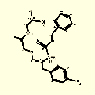 CC(COC[C@H](Cc1ccc(O)cc1)N(C)C(=O)CCc1ccccc1)OC[C@@H](C)O